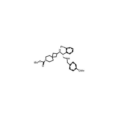 COc1ccc(CNC[C@H](NC2CC3(CCN(C(=O)OC(C)(C)C)CC3)C2)c2ccccc2C(C)C)cc1